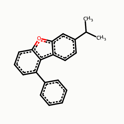 CC(C)c1ccc2c(c1)oc1cccc(-c3ccccc3)c12